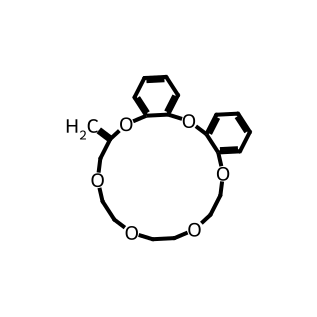 C=C1COCCOCCOCCOc2ccccc2Oc2ccccc2O1